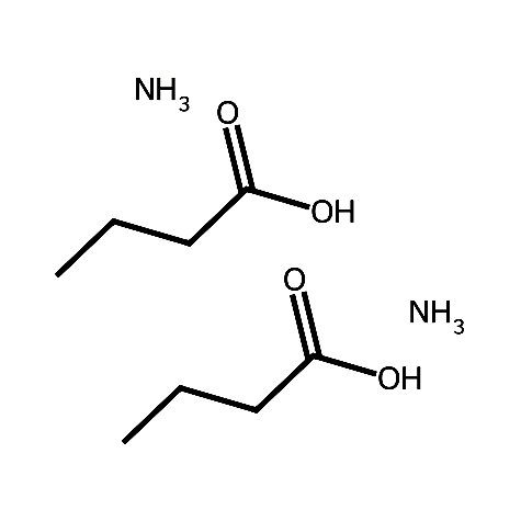 CCCC(=O)O.CCCC(=O)O.N.N